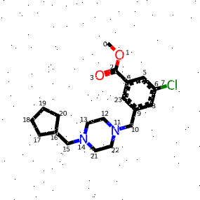 COC(=O)c1cc(Cl)cc(CN2CCN(CC3CCCC3)CC2)c1